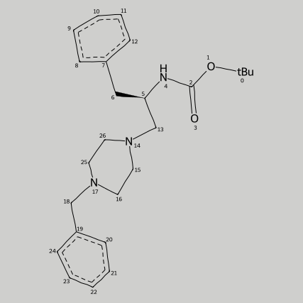 CC(C)(C)OC(=O)N[C@H](Cc1ccccc1)CN1CCN(Cc2ccccc2)CC1